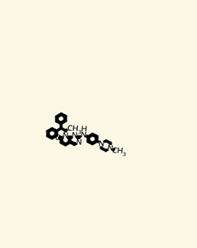 CC(C(c1ccccc1)c1ccccc1)n1c(=O)ccc2cnc(Nc3ccc(N4CCN(C)CC4)cc3)nc21